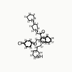 O=C(CN1CCC(N2CCCCC2)CC1)c1c(COc2ccc(Cl)cc2)n(CCC2CCCNC2)c2ccccc12